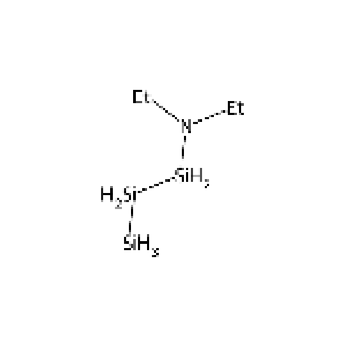 CCN(CC)[SiH2][SiH2][SiH3]